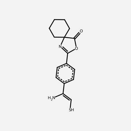 N/C(=C\S)c1ccc(C2=NC3(CCCCC3)C(=O)O2)cc1